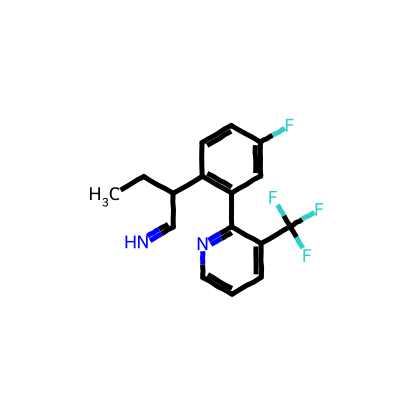 CCC(C=N)c1ccc(F)cc1-c1ncccc1C(F)(F)F